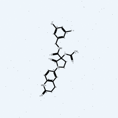 CC(=O)OC1(C(=O)NCc2cc(F)cc(Cl)c2)CCN(c2ccc3c(c2)CCC(=O)N3)C1=O